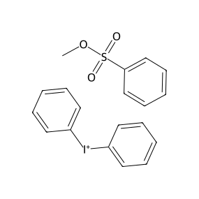 COS(=O)(=O)c1ccccc1.c1ccc([I+]c2ccccc2)cc1